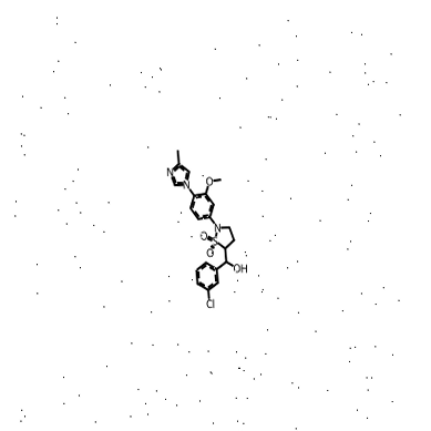 COc1cc(N2CCC(C(O)c3cccc(Cl)c3)S2(=O)=O)ccc1-n1cnc(C)c1